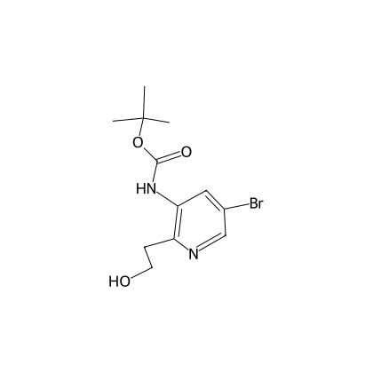 CC(C)(C)OC(=O)Nc1cc(Br)cnc1CCO